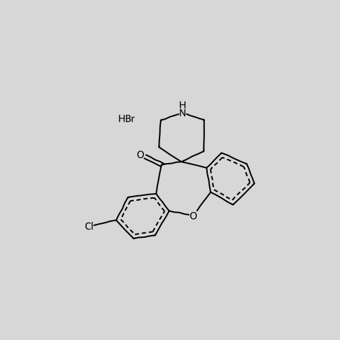 Br.O=C1c2cc(Cl)ccc2Oc2ccccc2C12CCNCC2